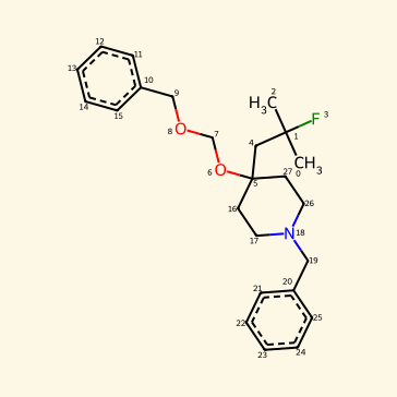 CC(C)(F)CC1(OCOCc2ccccc2)CCN(Cc2ccccc2)CC1